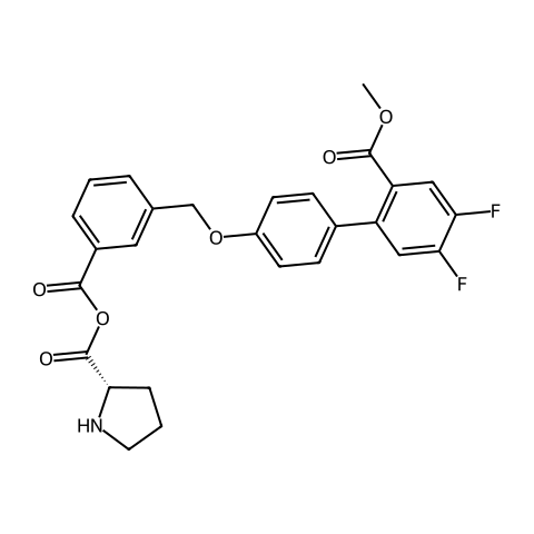 COC(=O)c1cc(F)c(F)cc1-c1ccc(OCc2cccc(C(=O)OC(=O)[C@@H]3CCCN3)c2)cc1